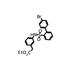 CCOC(=O)Cc1cccc(NS(=O)(=O)c2ccccc2-c2ccc(Br)cc2)c1